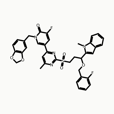 Cc1cc(-c2cc(F)c(=O)n(Cc3ccc4c(c3)OCO4)c2)nc(S(=O)(=O)CCC(OCc2ccccc2F)c2cc3ccccc3n2C)n1